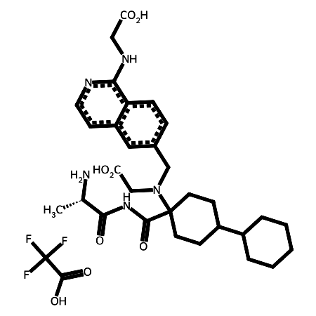 C[C@H](N)C(=O)NC(=O)C1(N(CC(=O)O)Cc2ccc3c(NCC(=O)O)nccc3c2)CCC(C2CCCCC2)CC1.O=C(O)C(F)(F)F